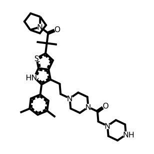 Cc1cc(C)cc(-c2[nH]c3sc(C(C)(C)C(=O)N4C5CCC4CC5)cc3c2CCN2CCN(C(=O)CN3CCNCC3)CC2)c1